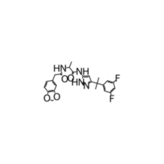 CC(NC(=O)Cc1ccc2c(c1)OCO2)C(=O)Nc1cc(C(C)(C)c2cc(F)cc(F)c2)n[nH]1